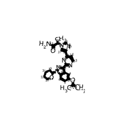 CC(C)Oc1ccc2c(c1)c(-c1nccc(-c3cn(C(C)C(N)=O)cn3)n1)nn2C1CCCCO1